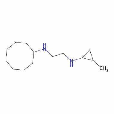 CC1CC1NCCNC1CCCCCCC1